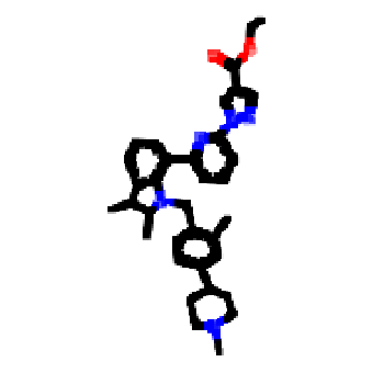 CCOC(=O)c1cnn(-c2cccc(-c3cccc4c3N(Cc3ccc(C5CCN(C)CC5)cc3C)C(C)C4C)n2)c1